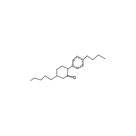 CCCCCC1CCC(c2ccc(CCCC)cc2)C(=O)C1